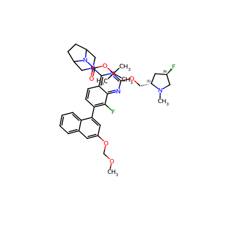 COCOc1cc(-c2ccc3c(N4CC5CCC(C4)N5C(=O)OC(C)(C)C)nc(OC[C@@H]4C[C@@H](F)CN4C)nc3c2F)c2ccccc2c1